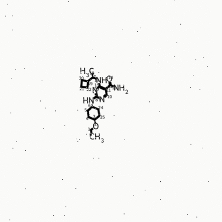 CCO[C@H]1CC[C@H](Nc2ncc(C(N)=O)c(N[C@H](C)C3CCC3)n2)CC1